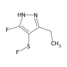 CCc1n[nH]c(F)c1SF